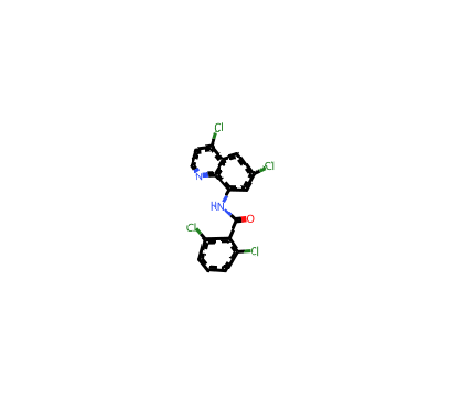 O=C(Nc1cc(Cl)cc2c(Cl)ccnc12)c1c(Cl)cccc1Cl